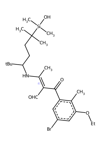 CCOc1cc(Br)cc(C(=O)/C(C=O)=C(\C)NC(CCC(C)(C)[Si](C)(C)O)C(C)(C)C)c1C